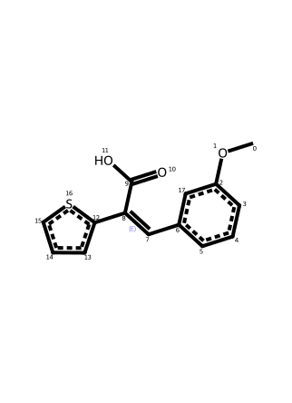 COc1cccc(/C=C(\C(=O)O)c2cccs2)c1